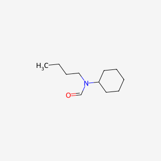 CCCCN(C=O)C1CCCCC1